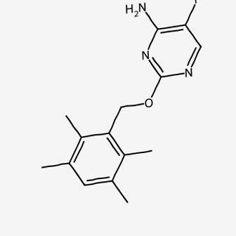 Cc1cc(C)c(C)c(COc2ncc(F)c(N)n2)c1C